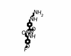 NCCCNCc1ccc(-c2cn3c(=O)cc(-c4ccc(OCF)cc4)[nH]c3nc2=O)cc1